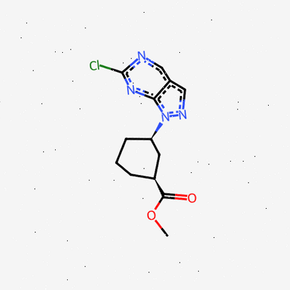 COC(=O)[C@H]1CCC[C@@H](n2ncc3cnc(Cl)nc32)C1